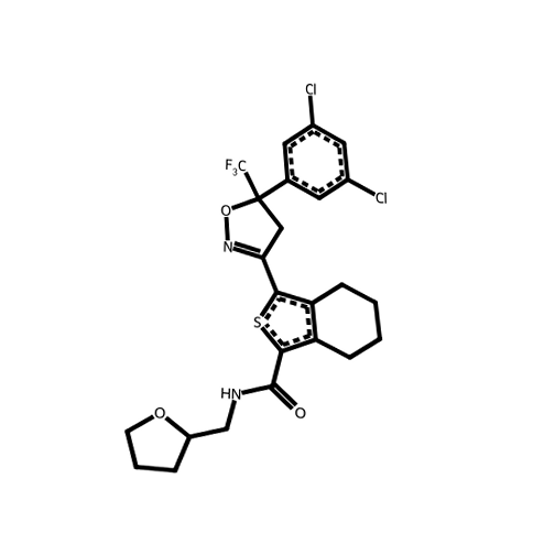 O=C(NCC1CCCO1)c1sc(C2=NOC(c3cc(Cl)cc(Cl)c3)(C(F)(F)F)C2)c2c1CCCC2